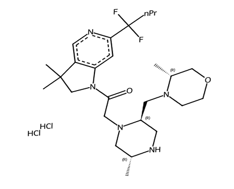 CCCC(F)(F)c1cc2c(cn1)C(C)(C)CN2C(=O)CN1C[C@@H](C)NC[C@@H]1CN1CCOC[C@H]1C.Cl.Cl